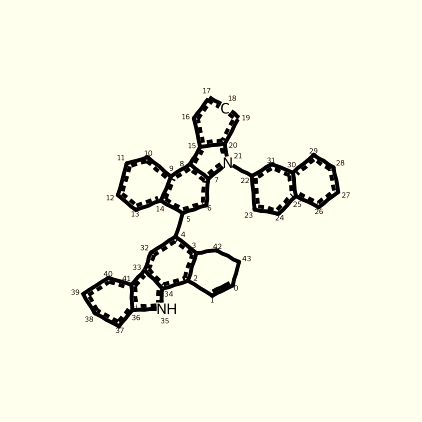 C1=Cc2c(c(-c3cc4c(c5ccccc35)c3ccccc3n4-c3ccc4ccccc4c3)cc3c2[nH]c2ccccc23)CC1